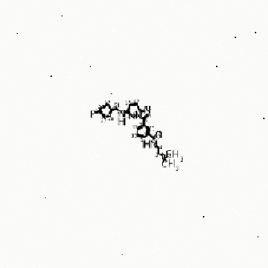 CN(C)CCNC(=O)c1cccc(-c2cnc3ccc(NCc4ccc(F)cc4)nn23)c1